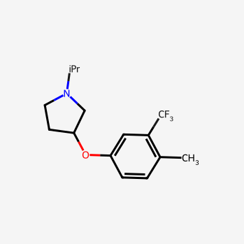 Cc1ccc(OC2CCN(C(C)C)C2)cc1C(F)(F)F